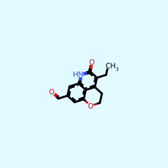 CCc1c2c3c(cc(C=O)cc3[nH]c1=O)OCC2